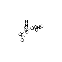 O=C(Oc1ccc(CC2CNCCN2C(=O)CCc2ccccc2Oc2ccccc2)cc1)N1CCOCC1